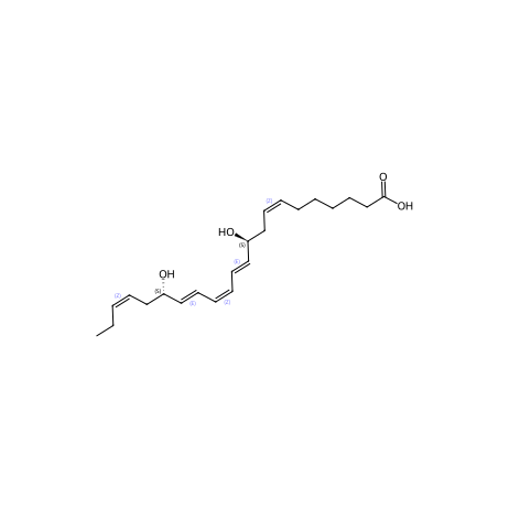 CC/C=C\C[C@H](O)/C=C/C=C\C=C\[C@@H](O)C/C=C\CCCCCC(=O)O